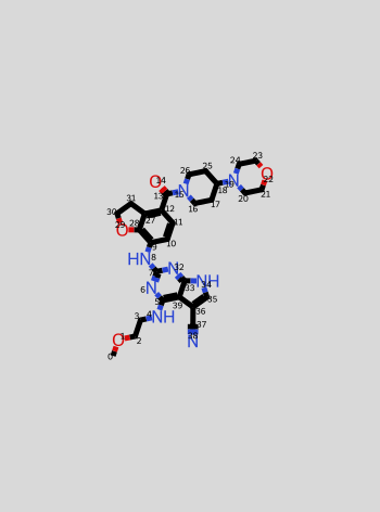 COCCNc1nc(Nc2ccc(C(=O)N3CCC(N4CCOCC4)CC3)c3c2OCC3)nc2[nH]cc(C#N)c12